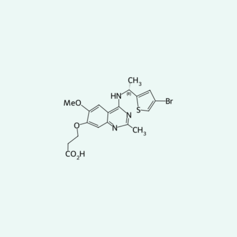 COc1cc2c(N[C@H](C)c3cc(Br)cs3)nc(C)nc2cc1OCCC(=O)O